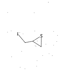 ICC1CS1